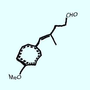 COc1ccc(/C=C(\C)CCC=O)cc1